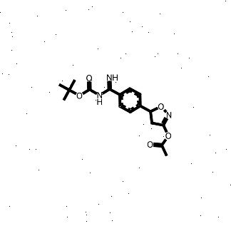 CC(=O)OC1=NOC(c2ccc(C(=N)NC(=O)OC(C)(C)C)cc2)C1